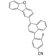 N#Cc1ccc(-c2ccc(-c3ccc4oc5ccccc5c4c3)c3ccccc23)c(F)c1